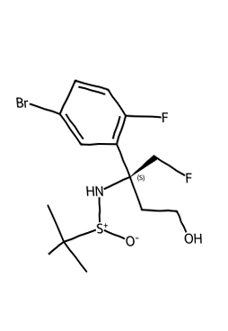 CC(C)(C)[S+]([O-])N[C@@](CF)(CCO)c1cc(Br)ccc1F